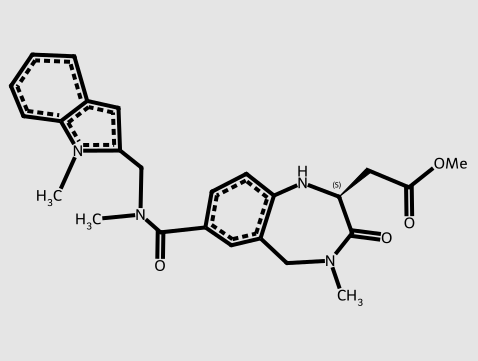 COC(=O)C[C@@H]1Nc2ccc(C(=O)N(C)Cc3cc4ccccc4n3C)cc2CN(C)C1=O